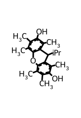 Cc1c(C)c2c(c(C)c1O)C(C(C)C)c1c(C)c(O)c(C)c(C)c1O2